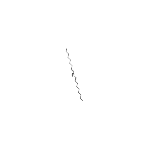 CCCCCCCC=C[P]C=CCCCCCCC